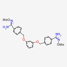 CO/N=C(\N)c1ccc(COc2cccc(OCc3ccc(/C(N)=N\OC)cc3)c2)cc1